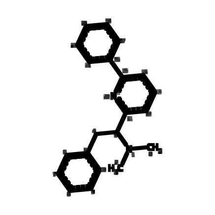 CN(C)C(Cc1ccccc1)c1cccc(-c2ccccc2)n1